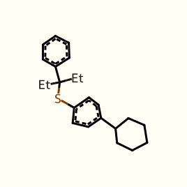 CCC(CC)(Sc1ccc(C2CCCCC2)cc1)c1ccccc1